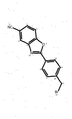 N#Cc1ccc2oc(-c3ccc(CBr)cc3)nc2c1